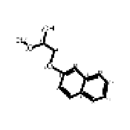 CCOC(O)COc1ccc2cc[c]cc2c1